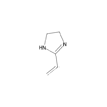 C=[C]C1=NCCN1